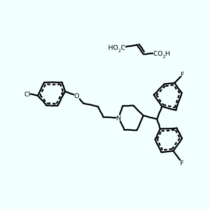 Fc1ccc(C(c2ccc(F)cc2)C2CCN(CCCOc3ccc(Cl)cc3)CC2)cc1.O=C(O)C=CC(=O)O